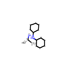 C1CCC(NC2CCCCC2)CC1.CCCC[C@H](N)C(=O)O